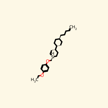 C=CCCC[C@H]1CC[C@H]([C@H]2CC[Si@H](COc3ccc(OCC)cc3)CC2)CC1